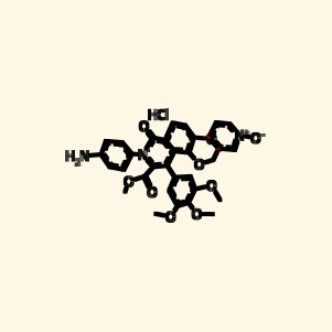 COC(=O)c1c(-c2cc(OC)c(OC)c(OC)c2)c2c(OCc3ccc[n+]([O-])c3)c(OC)ccc2c(=O)n1-c1ccc(N)cc1.Cl